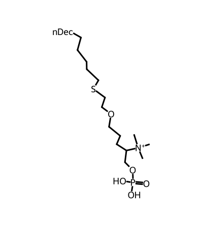 CCCCCCCCCCCCCCCSCCOCCCC(COP(=O)(O)O)[N+](C)(C)C